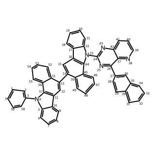 c1ccc(-n2c3ccccc3c3cc(-c4cc5c6ccccc6n(-c6nc(-c7ccc8ccccc8c7)c7ncccc7n6)c5c5ccccc45)c4ccccc4c32)cc1